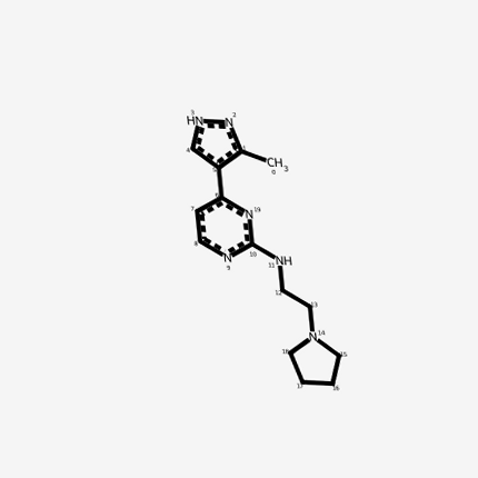 Cc1n[nH]cc1-c1ccnc(NCCN2CCCC2)n1